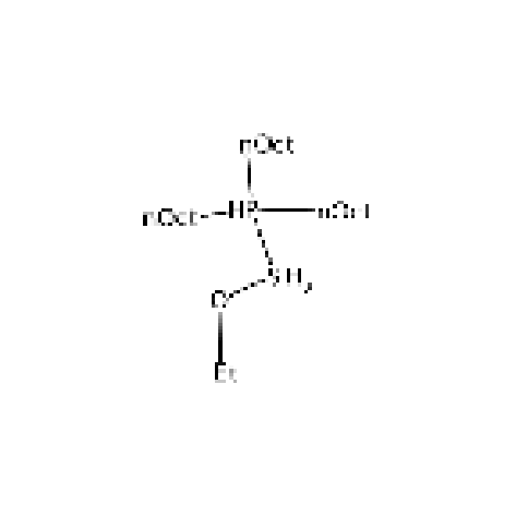 CCCCCCCC[PH](CCCCCCCC)(CCCCCCCC)[SiH2]OCC